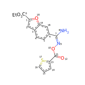 CCOC(=O)c1cc2ccc(/C(N)=N\OC(=O)c3cccs3)cc2o1